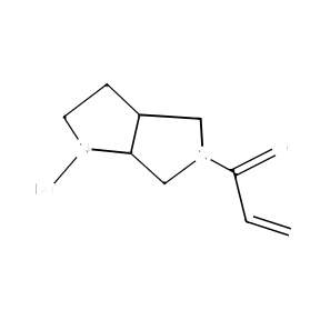 C=CC(=O)N1CC2CCN(C(C)(C)C)C2C1